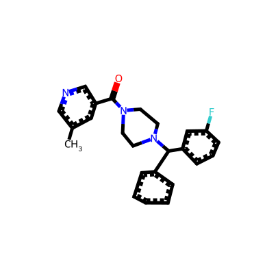 Cc1cncc(C(=O)N2CCN(C(c3ccccc3)c3cccc(F)c3)CC2)c1